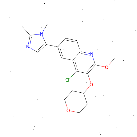 COc1nc2ccc(-c3cnc(C)n3C)cc2c(Cl)c1OC1CCOCC1